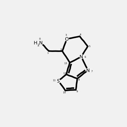 NCC1OCCn2nc3ccsc3c21